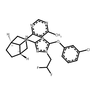 Cc1cc(N2C[C@@H]3CC[C@@H](C2)C3Nc2nc(Oc3cccc(Cl)c3)n(CC(F)F)n2)ncn1